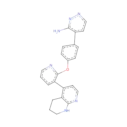 Nc1nnccc1-c1ccc(Oc2ncccc2-c2ccnc3c2CCCN3)cc1